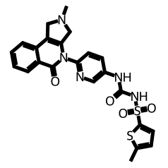 Cc1ccc(S(=O)(=O)NC(=O)Nc2ccc(-n3c4c(c5ccccc5c3=O)CN(C)C4)nc2)s1